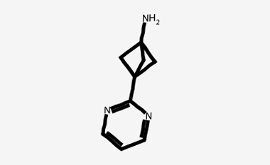 NC12CC(c3ncccn3)(C1)C2